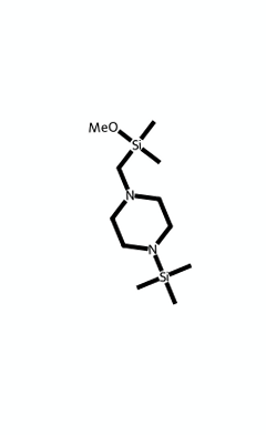 CO[Si](C)(C)CN1CCN([Si](C)(C)C)CC1